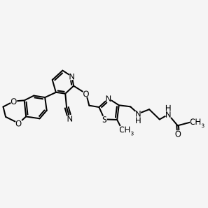 CC(=O)NCCNCc1nc(COc2nccc(-c3ccc4c(c3)OCCO4)c2C#N)sc1C